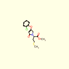 COC(=O)C(CCSC)N1CC(Oc2ccccc2Cl)=CC1=O